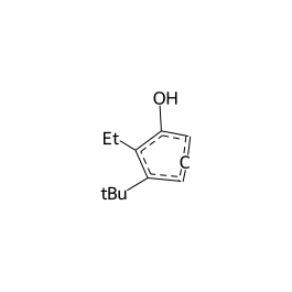 CCc1c(O)cccc1C(C)(C)C